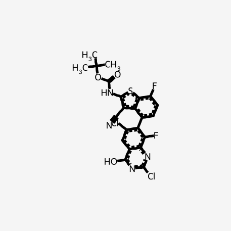 CC(C)(C)OC(=O)Nc1sc2c(F)ccc(-c3c(Cl)cc4c(O)nc(Cl)nc4c3F)c2c1C#N